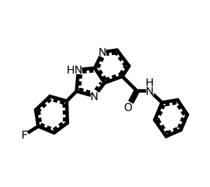 O=C(Nc1ccccc1)c1ccnc2[nH]c(-c3ccc(F)cc3)nc12